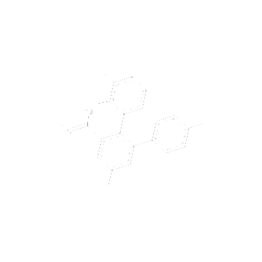 Cc1c(F)cccc1-c1c(/C(N)=N/O)cc(C(F)(F)F)cc1-c1ccc(O)cc1